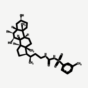 CC[C@H]1[C@@H](O)[C@@H]2[C@H](CC[C@]3(C)[C@@H]([C@H](C)CCNC(=O)NS(=O)(=O)c4cccc(C)c4)CC[C@@H]23)[C@@]2(C)CC[C@@H](O)C[C@@H]12